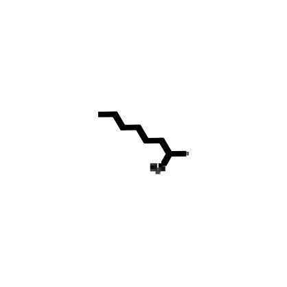 [CH2]C(N)CCCCCC